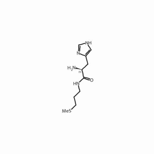 CSCCCNC(=O)[C@@H](N)Cc1c[nH]cn1